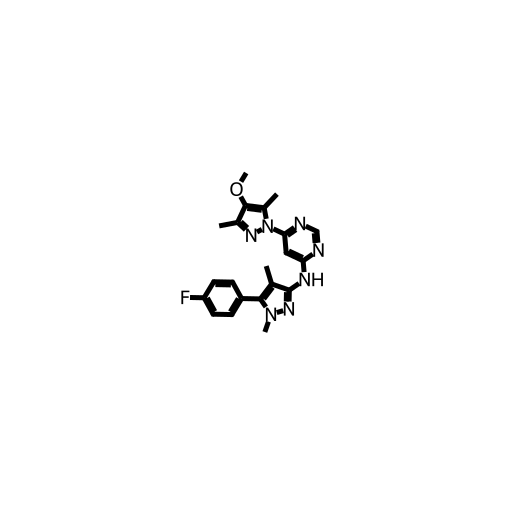 COc1c(C)nn(-c2cc(Nc3nn(C)c(-c4ccc(F)cc4)c3C)ncn2)c1C